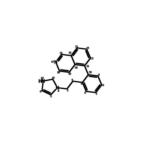 C1=CN(CCc2ccccc2-c2cccc3cnccc23)CN1